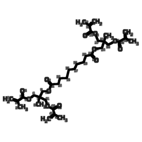 C=C(C)C(=O)OCC(C)(COC(=O)CCCCCCCCC(=O)OCC(C)(COC(=O)C(=C)C)COC(=O)C(=C)C)COC(=O)C(=C)C